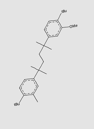 COc1cc(C(C)(C)CCC(C)(C)c2ccc(C(C)(C)C)c(C)c2)ccc1C(C)(C)C